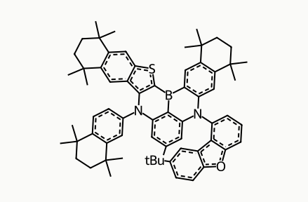 Cc1cc2c3c(c1)N(c1cccc4oc5ccc(C(C)(C)C)cc5c14)c1cc4c(cc1B3c1sc3cc5c(cc3c1N2c1ccc2c(c1)C(C)(C)CCC2(C)C)C(C)(C)CCC5(C)C)C(C)(C)CCC4(C)C